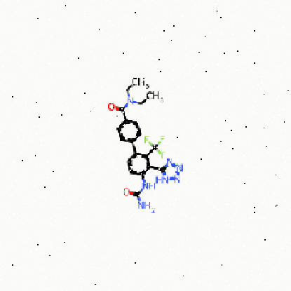 CCN(CC)C(=O)c1ccc(-c2ccc(NC(N)=O)c(-c3nnn[nH]3)c2C(F)(F)F)cc1